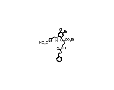 CCOC(=O)[C@@H](CCNC(=O)OCc1ccccc1)Oc1cc(Br)c(Cl)cc1NCC1CN(C(=O)O)C1